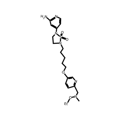 CCON(C)Cc1ccc(OCCCCCN2CCN(c3ccnc(N)c3)S2(=O)=O)cn1